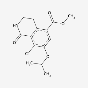 COC(=O)c1cc(OC(C)C)c(Cl)c2c1CCNC2=O